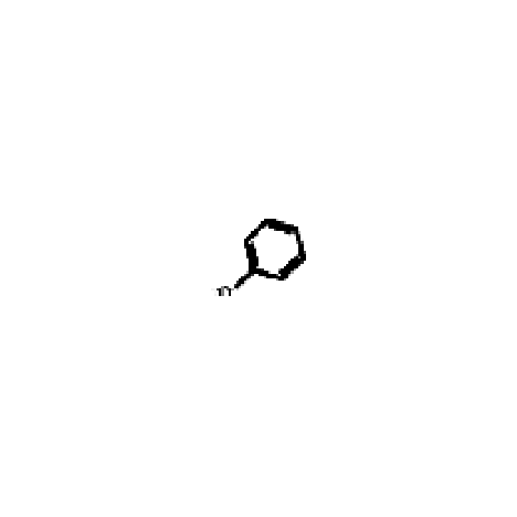 [CH]C[CH]c1ccccc1